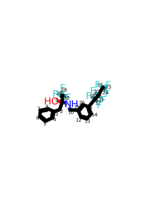 OC(Cc1ccccc1)(NCc1cccc(C(F)(F)C(F)(F)C(F)(F)F)c1)C(F)(F)F